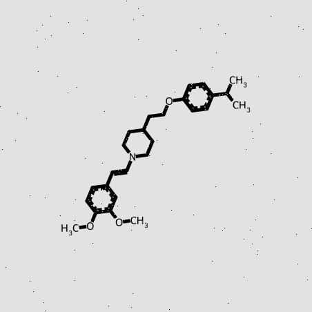 COc1ccc(C=CN2CCC(CCOc3ccc(C(C)C)cc3)CC2)cc1OC